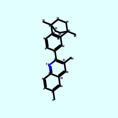 Cc1ccc2nc(-c3ccc4c(c3)C3(C)CCC4(C)CC3)c(C)cc2c1